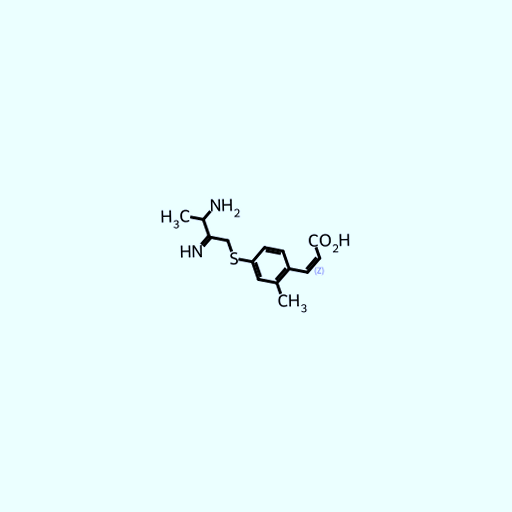 Cc1cc(SCC(=N)C(C)N)ccc1/C=C\C(=O)O